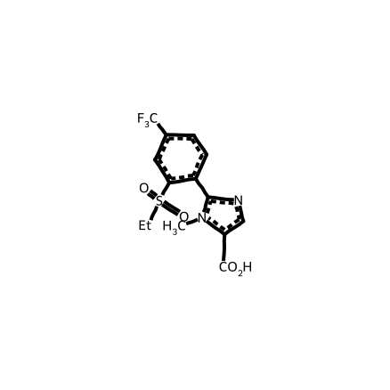 CCS(=O)(=O)c1cc(C(F)(F)F)ccc1-c1ncc(C(=O)O)n1C